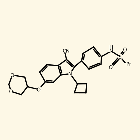 CC(C)S(=O)(=O)Nc1ccc(-c2c(C#N)c3ccc(OC4COCOC4)cc3n2C2CCC2)cc1